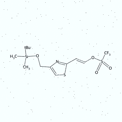 CC(C)(C)[Si](C)(C)OCc1csc(C=COS(=O)(=O)C(F)(F)F)n1